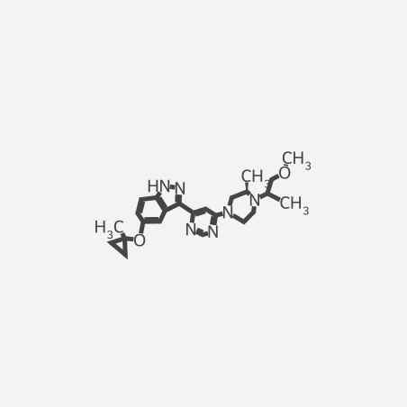 COCC(C)N1CCN(c2cc(-c3n[nH]c4ccc(OC5(C)CC5)cc34)ncn2)C[C@H]1C